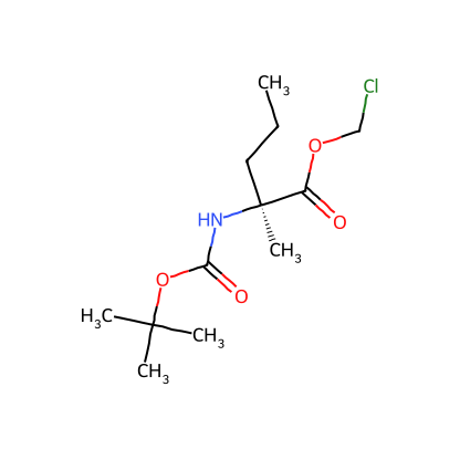 CCC[C@](C)(NC(=O)OC(C)(C)C)C(=O)OCCl